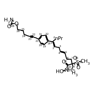 CCC/C(=C\C/C=C/CCC(C)(C(=O)NO)S(C)(=O)=O)c1ccc(C#CCCCOC(N)=O)cc1